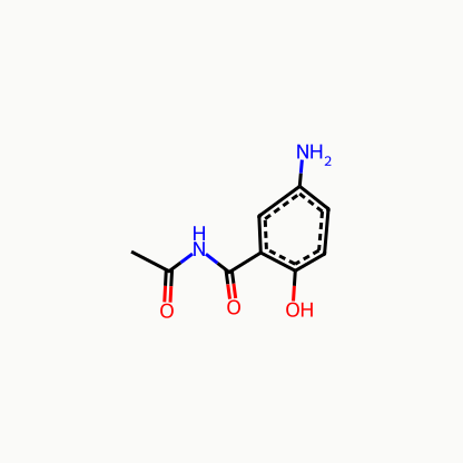 CC(=O)NC(=O)c1cc(N)ccc1O